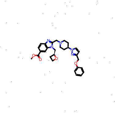 COC(=O)c1ccc2nc(CN3CCC(n4ccc(COc5ccccc5)n4)CC3)n(C[C@@H]3CCO3)c2c1